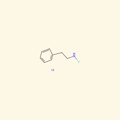 FNCCc1ccccc1.I